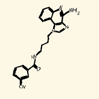 N#Cc1cccc(C(=O)NCCCCn2cnc3c(N)nc4ccccc4c32)c1